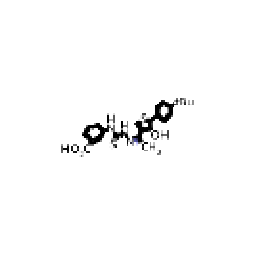 C/C(=N/NC(=S)Nc1cccc(C(=O)O)c1)c1csc(-c2ccc(C(C)(C)C)cc2)c1O